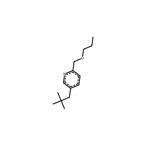 CCCOCc1ccc(CC(C)(C)C)cn1